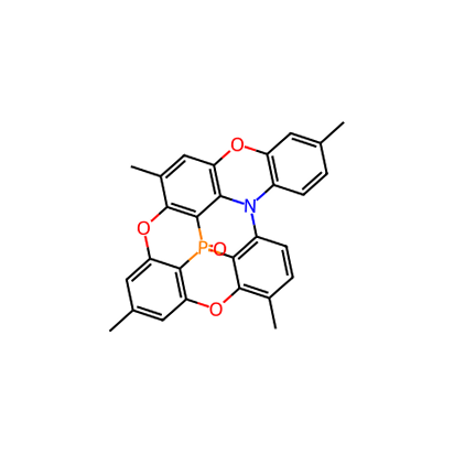 Cc1ccc2c(c1)Oc1cc(C)c3c4c1N2c1ccc(C)c2c1P4(=O)c1c(cc(C)cc1O3)O2